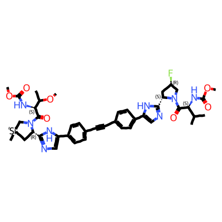 COC(=O)N[C@H](C(=O)N1C[C@H](F)C[C@H]1c1ncc(-c2ccc(C#Cc3ccc(-c4cnc([C@@H]5C[Si](C)(C)CN5C(=O)[C@@H](NC(=O)OC)C(C)OC)[nH]4)cc3)cc2)[nH]1)C(C)C